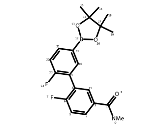 CNC(=O)c1ccc(F)c(-c2cc(B3OC(C)(C)C(C)(C)O3)ccc2F)c1